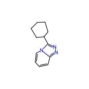 c1ccn2c([C]3CCCCC3)nnc2c1